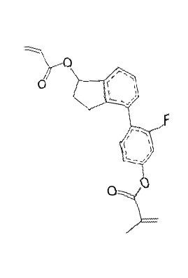 C=CC(=O)OC1CCc2c(-c3ccc(OC(=O)C(=C)C)cc3F)cccc21